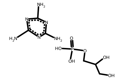 Nc1nc(N)nc(N)n1.O=P(O)(O)OCC(O)CO